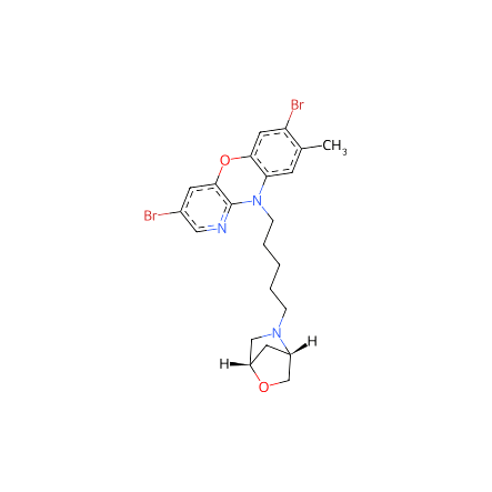 Cc1cc2c(cc1Br)Oc1cc(Br)cnc1N2CCCCCN1C[C@@H]2C[C@H]1CO2